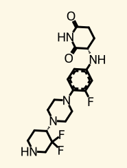 O=C1CC[C@H](Nc2ccc(N3CCN([C@H]4CCNCC4(F)F)CC3)c(F)c2)C(=O)N1